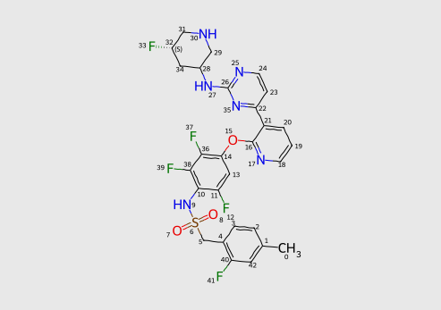 Cc1ccc(CS(=O)(=O)Nc2c(F)cc(Oc3ncccc3-c3ccnc(NC4CNC[C@@H](F)C4)n3)c(F)c2F)c(F)c1